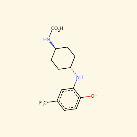 O=C(O)N[C@H]1CC[C@H](Nc2cc(C(F)(F)F)ccc2O)CC1